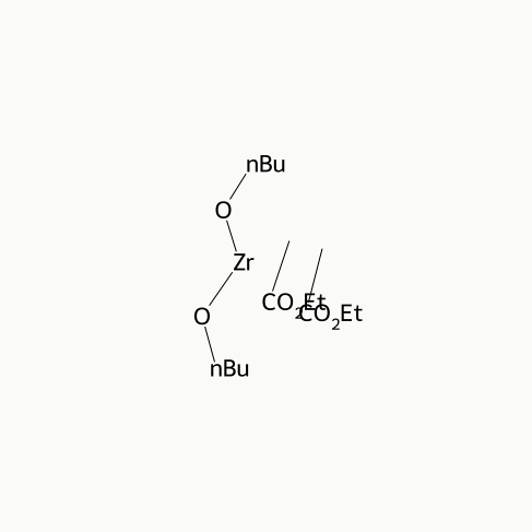 CCCC[O][Zr][O]CCCC.CCOC(C)=O.CCOC(C)=O